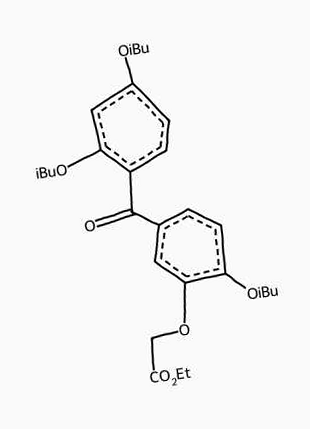 CCOC(=O)COc1cc(C(=O)c2ccc(OCC(C)C)cc2OCC(C)C)ccc1OCC(C)C